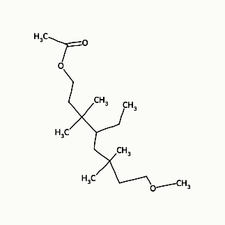 CCC(CC(C)(C)CCOC)C(C)(C)CCOC(C)=O